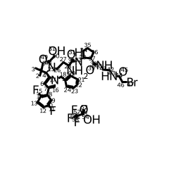 CC(C)(C)[C@H](c1cc(-c2cc(F)ccc2F)cn1Cc1ccccc1)N(CC[C@H](N)C(=O)N[C@H]1CCC[C@H]1C(=O)NCCNC(=O)CBr)C(=O)CO.O=C(O)C(F)(F)F